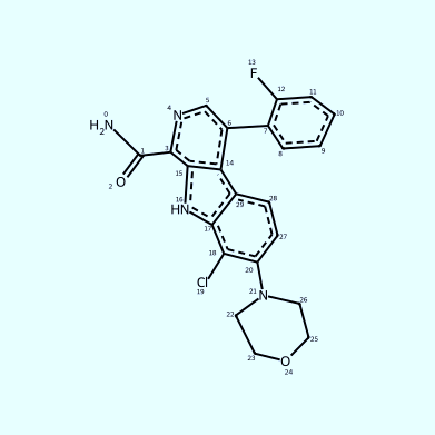 NC(=O)c1ncc(-c2ccccc2F)c2c1[nH]c1c(Cl)c(N3CCOCC3)ccc12